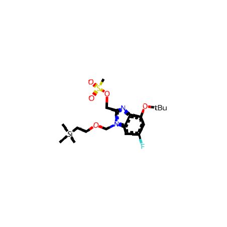 CC(C)(C)Oc1cc(F)cc2c1nc(COS(C)(=O)=O)n2COCC[Si](C)(C)C